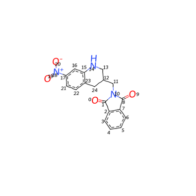 O=C1c2ccccc2C(=O)N1CC1CNc2cc([N+](=O)[O-])ccc2C1